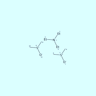 CCN(CC)CC.C[S+](C)[O-].C[S+](C)[O-]